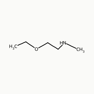 CCOCCNC